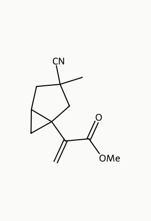 C=C(C(=O)OC)C12CC1CC(C)(C#N)C2